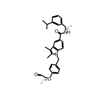 Cc1c(C)n(Cc2ccc(O[C@H](C)C=O)cc2)c2ccc(C(=O)N[C@@H](C)c3cccc(C(C)C)c3)cc12